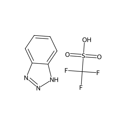 O=S(=O)(O)C(F)(F)F.c1ccc2[nH]nnc2c1